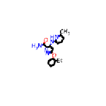 CCc1ccccc1Oc1cc(Nc2cccc(C)n2)c(C(N)=O)nn1